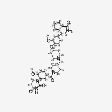 COc1cc(-c2cn(C)c(=O)c3cnccc23)ccc1OC1CCN(CC2CCN(C(=O)c3ccc(OC)c(N4CCC(=O)NC4=O)c3)CC2)CC1